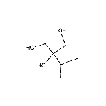 CC(C)C(O)(CO)CO